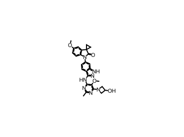 COc1ccc2c(c1)C1(CC1)C(=O)N2c1ccc2c(Nc3nc(C)nc(N4CC(O)C4)c3OC)n[nH]c2c1